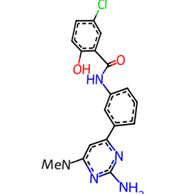 CNc1cc(-c2cccc(NC(=O)c3cc(Cl)ccc3O)c2)nc(N)n1